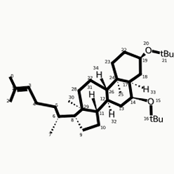 CC(C)=CCC[C@@H](C)[C@H]1CC[C@H]2[C@@H]3C[C@H](OC(C)(C)C)[C@@H]4C[C@H](OC(C)(C)C)CC[C@]4(C)[C@H]3CC[C@]12C